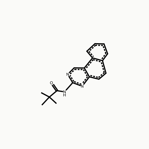 CC(C)(C)C(=O)Nc1ncc2c(ccc3ccccc32)n1